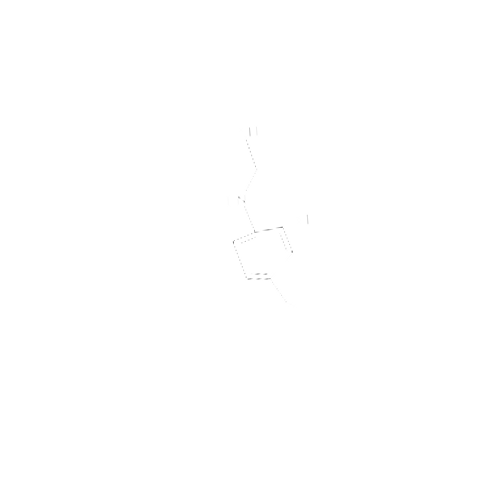 CCNc1ccc(O)cc1.Cl